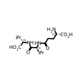 CC(C)[C@H](NC(=O)[C@@H](NC(=O)CC[C@H](N)C(=O)O)C(C)C)C(=O)O